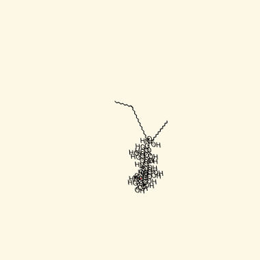 CCCCCCCC/C=C\CCCCCCCCCCCCCCCC(=O)N[C@@H](CO[C@@H]1OC(CO)[C@@H](O[C@@H]2OC(CO)[C@H](O)[C@H](O[C@@H]3OC(CO)[C@@H](O)[C@H](O[C@@H]4OC(CO)[C@H](O)[C@H](O[C@@H]5OC(CO)[C@H](O)[C@H](O[C@]6(C(=O)O)CC(O)[C@@H](NC(C)=O)C([C@H](O)[C@H](O)CO)O6)C5O)C4O)C3NC(C)=O)C2O)[C@H](O)C1O)[C@H](O)/C=C/CCCCCCCCCCCCC